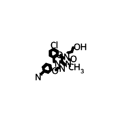 Cn1c(=O)n(CCCO)c(=O)c2c1nc(Oc1cccc(C#N)c1)n2Cc1ccc(Cl)cc1